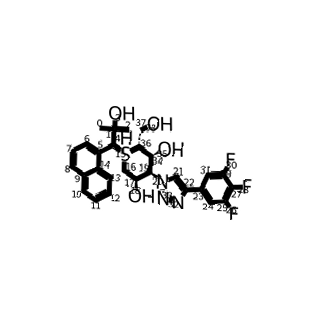 CC(C)(O)C(c1cccc2ccccc12)[SH]1C[C@H](O)[C@H](n2cc(-c3cc(F)c(F)c(F)c3)nn2)[C@@H](O)[C@H]1CO